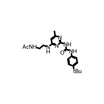 CC(=O)NCCNc1cc(C)nc(NC(=O)Nc2ccc(C(C)(C)C)cc2)n1